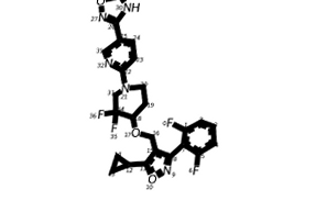 Fc1cccc(F)c1-c1noc(C2CC2)c1COC1CCN(c2ccc(C3=NOCN3)cn2)CC1(F)F